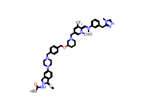 C=C=C1c2ccc(N3CCN(Cc4ccc(COC5CCCN(CC6=CN(C=O)/C(=C\N(C)c7cccc(Cc8nncn8C)c7)C(C(F)(F)F)=C6)C5)cc4)CC3)cc2CN1NC(=O)CCCC